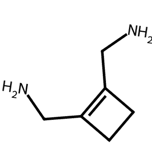 NCC1=C(CN)CC1